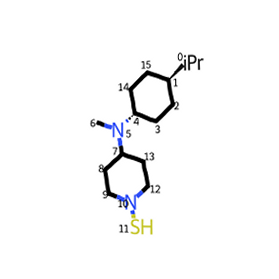 CC(C)[C@H]1CC[C@H](N(C)C2CCN(S)CC2)CC1